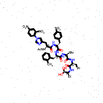 CC[C@H](NC(=O)[C@H](CC(C)C)NC(=O)[C@@H](NC(=O)[C@H](Cc1ccccc1C)NC(=O)[C@@H](Cc1ccc([N+](=O)[O-])cc1)NC(=O)[C@@H](Cc1cn(-c2ccc([N+](=O)[O-])cc2[N+](=O)[O-])cn1)NC(C)=O)C(C)(C)C)B(O)O